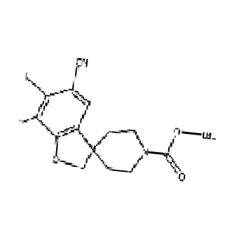 CC(C)(C)OC(=O)N1CCC2(CC1)COc1c2cc(C#N)c(I)c1F